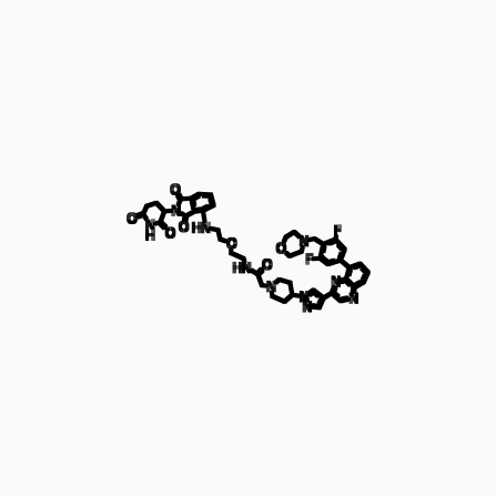 O=C(CN1CCC(n2cc(-c3cnc4cccc(-c5cc(F)c(CN6CCOCC6)c(F)c5)c4n3)cn2)CC1)NCCOCCNc1cccc2c1C(=O)N(C1CCC(=O)NC1=O)C2=O